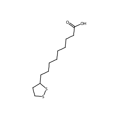 O=C(O)CCCCCCCCC1CCSS1